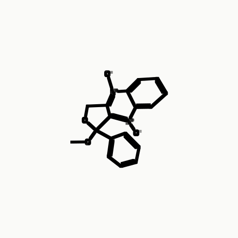 COC1(c2ccccc2)OCc2c1[n+]([O-])c1ccccc1[n+]2[O-]